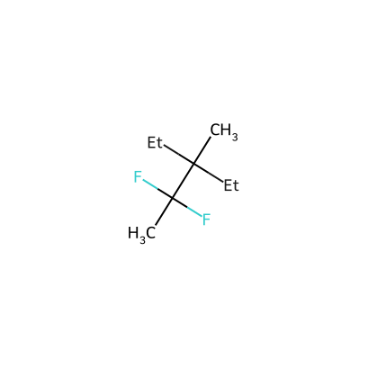 CCC(C)(CC)C(C)(F)F